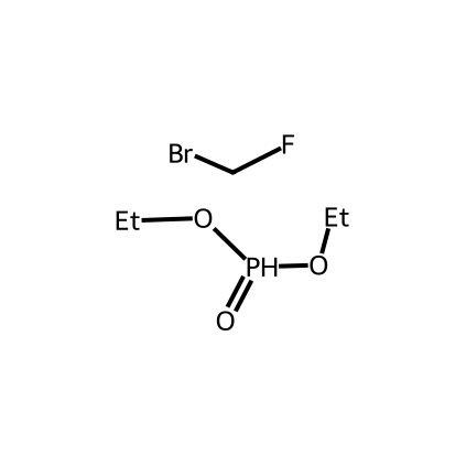 CCO[PH](=O)OCC.FCBr